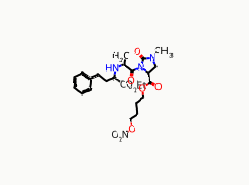 CCOC(=O)C(CCc1ccccc1)NC(C)C(=O)N1C(=O)N(C)CC1C(=O)OCCCCO[N+](=O)[O-]